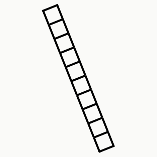 C1CC2C1C1C2C2C1C1C2C2C3C4C5C6CCC6C5C4C3C12